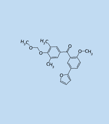 COCOc1c(C)cc(C(=O)c2cc(-c3ccco3)ccc2OC)cc1C